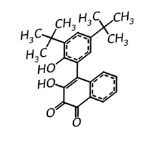 CC(C)(C)c1cc(C2=C(O)C(=O)C(=O)c3ccccc32)c(O)c(C(C)(C)C)c1